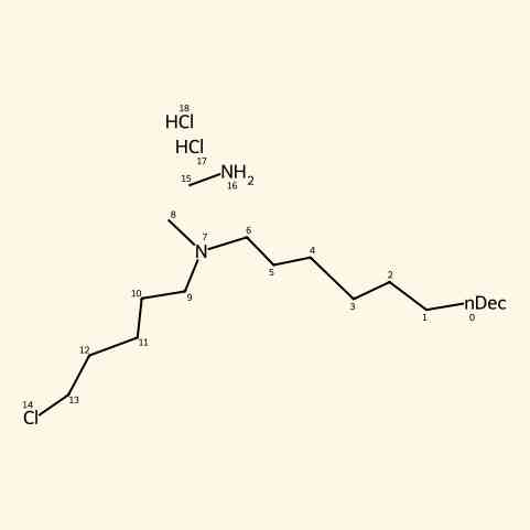 CCCCCCCCCCCCCCCCN(C)CCCCCCl.CN.Cl.Cl